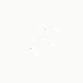 CCC(CC)C(N)OC(C)=O